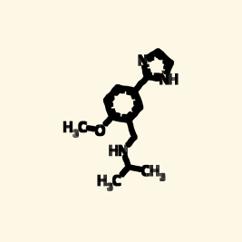 COc1ccc(-c2ncc[nH]2)cc1CNC(C)C